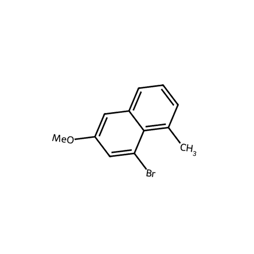 COc1cc(Br)c2c(C)cccc2c1